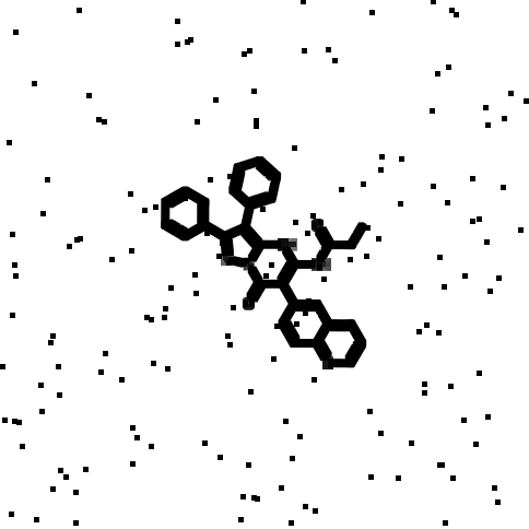 CCC(=O)Nc1[nH]c2c(-c3ccccc3)c(-c3ccccc3)nn2c(=O)c1-c1ccc2ncccc2c1